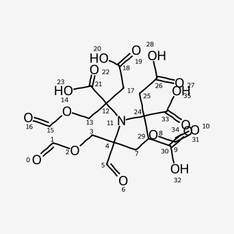 O=COCC(C=O)(COC=O)N(C(COC=O)(CC(=O)O)C(=O)O)C(CC(=O)O)(CC(=O)O)C(=O)O